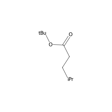 [CH2]C(C)CCC(=O)OC(C)(C)C